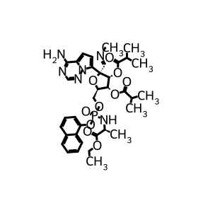 CCOC(=O)[C@H](C)NP(=O)(OC[C@H]1O[C@@](C=NC)(c2ccc3c(N)ncnn23)[C@H](OC(=O)C(C)C)[C@@H]1OC(=O)C(C)C)Oc1cccc2ccccc12